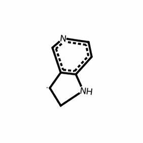 [CH]1CNc2ccncc21